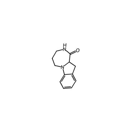 O=C1NCCCN2c3ccccc3CC12